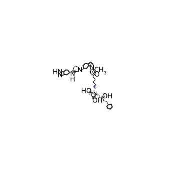 CC(OC(=O)CCC/C=C/C[C@@H]1[C@@H](CC[C@@H](O)CCc2ccccc2)[C@H](O)C[C@@H]1O)n1ccc2ccc(CN3CCC[C@@H](Nc4ccc5[nH]ncc5c4)C3)cc21